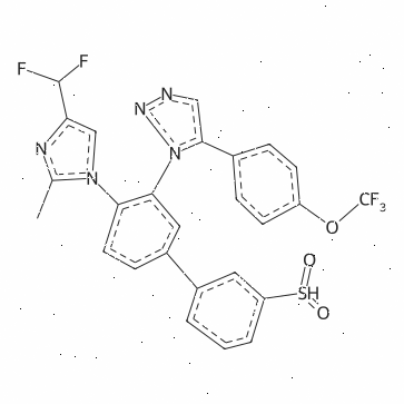 Cc1nc(C(F)F)cn1-c1ccc(-c2cccc([SH](=O)=O)c2)cc1-n1nncc1-c1ccc(OC(F)(F)F)cc1